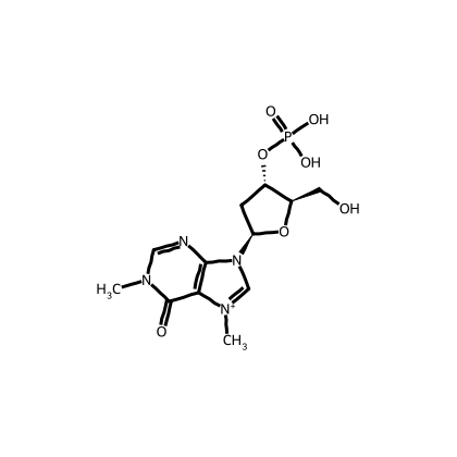 Cn1cnc2c(c1=O)[n+](C)cn2[C@H]1C[C@H](OP(=O)(O)O)[C@@H](CO)O1